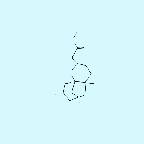 COC(=O)C[C@H]1CC[C@@H]2O[C@@H]3C[C@]2(C[C@@H](C)[C@H]3C)O1